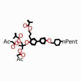 C=C(C)C(=O)OCCCc1cc(-c2ccc(OCC3CCC(CCCCC)CC3)cc2)ccc1OCC(COC(=O)CC(C)=O)(COC(=O)CC(C)=O)COC(=O)C(=C)C